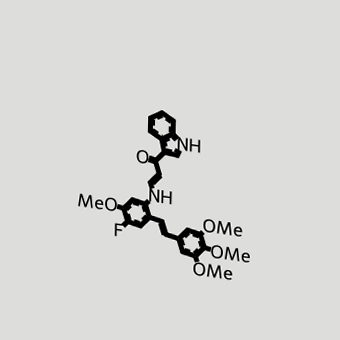 COc1cc(NC=CC(=O)c2c[nH]c3ccccc23)c(C=Cc2cc(OC)c(OC)c(OC)c2)cc1F